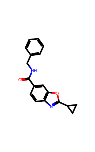 O=C(NCc1ccccc1)c1ccc2nc(C3CC3)oc2c1